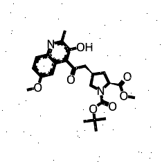 COC(=O)[C@@H]1C[C@H](CC(=O)c2c(O)c(C)nc3ccc(OC)cc23)CN1C(=O)OC(C)(C)C